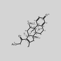 CC(=O)OCC(=O)C1=C(C)C[C@H]2[C@@H]3CCC4=CC(=O)C=C[C@]4(C)[C@@]3(F)C(OC(C)=O)C[C@]12C